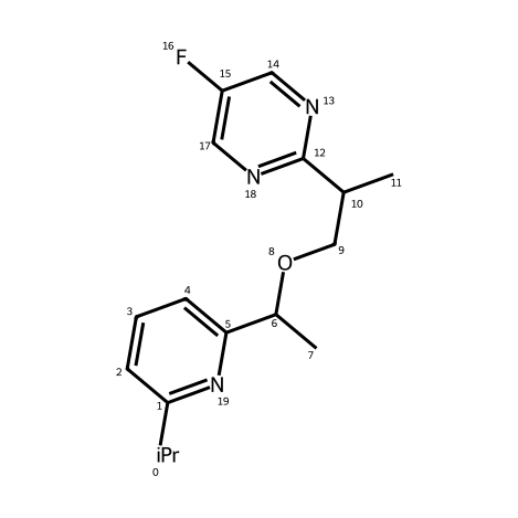 CC(C)c1cccc(C(C)OCC(C)c2ncc(F)cn2)n1